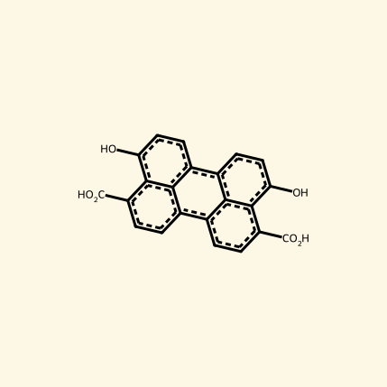 O=C(O)c1ccc2c3ccc(C(=O)O)c4c(O)ccc(c5ccc(O)c1c52)c43